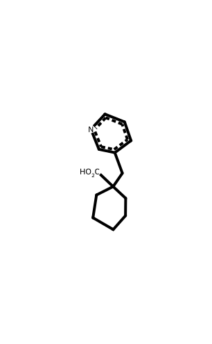 O=C(O)C1(Cc2cccnc2)CCCCC1